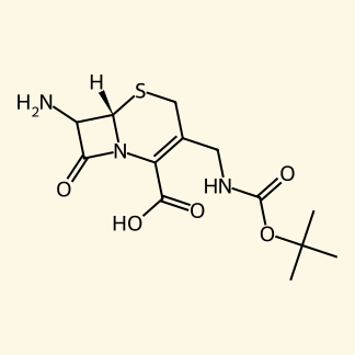 CC(C)(C)OC(=O)NCC1=C(C(=O)O)N2C(=O)C(N)[C@@H]2SC1